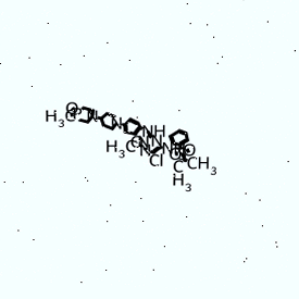 COc1cc(N2CCC(N3CCP(C)(=O)CC3)CC2)ccc1Nc1nnc(Cl)c(Nc2ccccc2S(=O)(=O)C(C)C)n1